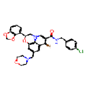 O=C(NCc1ccc(Cl)cc1)c1cn2c3c(cc(CN4CCOCC4)cc3c1=S)OC(c1cccc3c1OCO3)C2